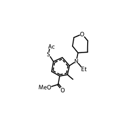 CCN(c1cc(SC(C)=O)cc(C(=O)OC)c1C)C1CCOCC1